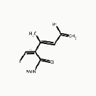 C=C(Br)/C=C(C)/C(=C/I)C(=O)NC